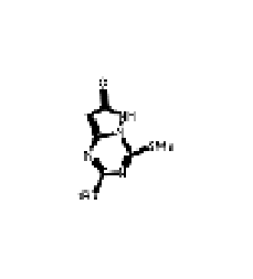 CSc1nc(C(C)(C)C)nc2cc(=O)[nH]n12